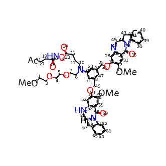 COCCOCCOCCN(CCCC(=O)ONC(=O)CCC(C)=O)c1cc(COc2cc3c(cc2OC)C(=O)N2c4ccccc4CC2C=N3)cc(COc2cc3c(cc2OC)C(=O)N2c4ccccc4C[C@H]2CN3)c1